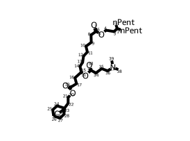 CCCCCC(CCCCC)CCOC(=O)CCCCCCCC(CCC(=O)OCCC12CCC(CC1)CC2)OC(=O)CCCN(C)C